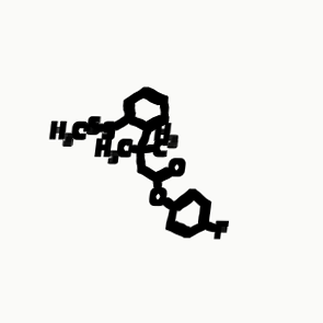 CSSc1ccccc1C(C)(C)CC(=O)Oc1ccc(F)cc1